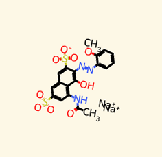 COc1ccccc1N=Nc1c(S(=O)(=O)[O-])cc2cc(S(=O)(=O)[O-])cc(NC(C)=O)c2c1O.[Na+].[Na+]